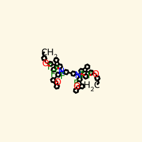 C=Cc1ccc(Oc2ccc(C3(c4c(F)cccc4F)c4ccccc4-c4ccc(N(c5ccc(-c6ccc(N(c7ccc8c(c7)C(c7ccc(Oc9ccc(C=C)cc9)cc7)(c7c(F)cccc7F)c7ccccc7-8)c7cc(F)c(-c8cccc9c8oc8ccccc89)cc7F)cc6)cc5)c5cc(F)c(-c6cccc7c6oc6ccccc67)cc5F)cc43)cc2)cc1